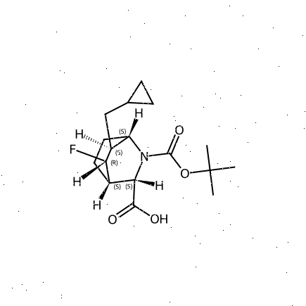 CC(C)(C)OC(=O)N1[C@H](C(=O)O)[C@@H]2CC[C@H]1[C@H](CC1CC1)[C@H]2F